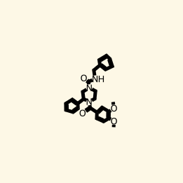 COc1ccc(C(=O)N2CCN(C(=O)NCc3ccccc3)CC2c2ccccc2)cc1OC